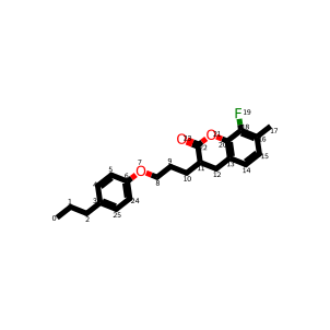 CCCc1ccc(OCCCC2Cc3ccc(C)c(F)c3OC2=O)cc1